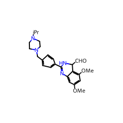 COc1cc2c(c(OC)c1)C(C=O)NC(c1ccc(CN3CCN(C(C)C)CC3)cc1)=N2